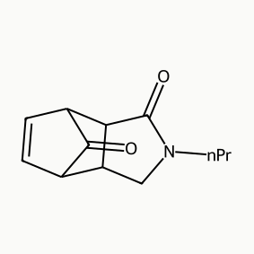 CCCN1CC2C3C=CC(C3=O)C2C1=O